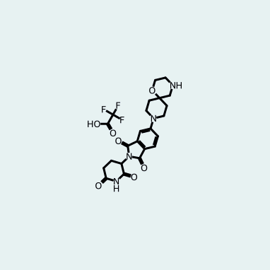 O=C(O)C(F)(F)F.O=C1CCC(N2C(=O)c3ccc(N4CCC5(CC4)CNCCO5)cc3C2=O)C(=O)N1